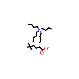 CC(C)(C)CCCC(=O)[O-].CCCC[N+](CCCC)(CCCC)CCCC